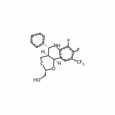 OC[C@H]1CC[C@@H]2[C@H](O1)c1cc(C(F)(F)F)c(F)c(F)c1N[C@H]2c1ccccc1